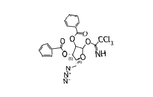 [N-]=[N+]=NC[C@H]1OC(OC(=N)C(Cl)(Cl)Cl)C(OC(=O)c2ccccc2)[C@H]1OC(=O)c1ccccc1